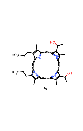 CC1=C(CCC(=O)O)c2cc3[nH]c(cc4nc(cc5[nH]c(cc1n2)c(C(C)O)c5C)C(C(C)O)=C4C)c(C)c3CCC(=O)O.[Fe]